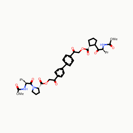 COC(=O)N[C@H](C(=O)C1CCC[C@H]1C(=O)OCC(=O)c1ccc(-c2ccc(C(=O)COC(=O)[C@@H]3CCCN3C(=O)[C@@H](NC(=O)OC)C(C)C)cc2)cc1)C(C)C